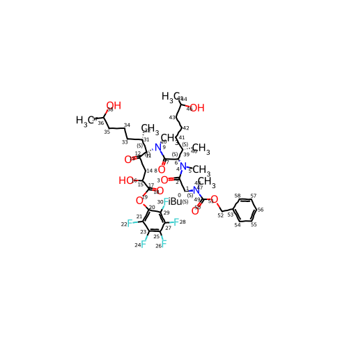 CC[C@H](C)[C@@H](C(=O)N(C)[C@H](C(=O)N(C)[C@H](C(=O)CC(O)C(=O)Oc1c(F)c(F)c(F)c(F)c1F)[C@@H](C)CCCC(C)O)[C@@H](C)CCCC(C)O)N(C)C(=O)OCc1ccccc1